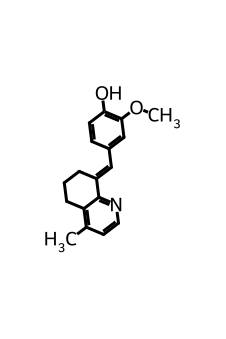 COc1cc(C=C2CCCc3c(C)ccnc32)ccc1O